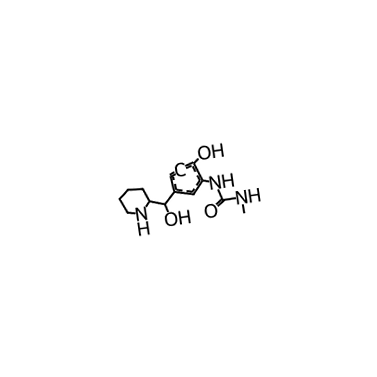 CNC(=O)Nc1cc(C(O)C2CCCCN2)ccc1O